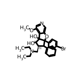 CCN(CC)C[C@@H]1C(c2ccccc2)C2(c3ccc(Br)cc3)Oc3cncc(OC)c3C2(O)[C@@H]1O